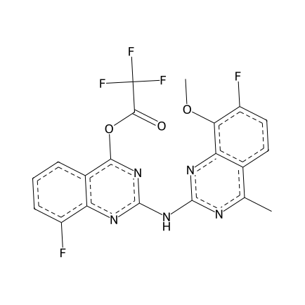 COc1c(F)ccc2c(C)nc(Nc3nc(OC(=O)C(F)(F)F)c4cccc(F)c4n3)nc12